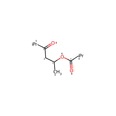 CC(CC(=O)C(C)C)OC(=O)C(C)C